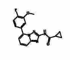 COc1cc(-c2cccc3nc(NC(=O)C4CC4)nn23)ccc1F